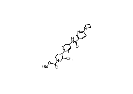 C[C@H]1CN(C(=O)OC(C)(C)C)CCN1c1ncc(NC(=O)c2ccc(N3CCC3)nc2)cn1